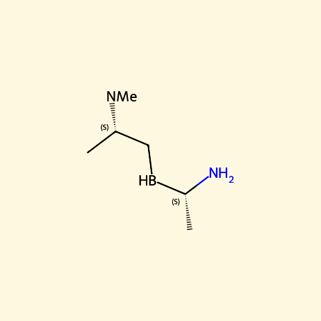 CN[C@@H](C)CB[C@@H](C)N